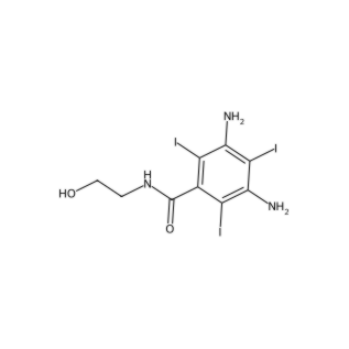 Nc1c(I)c(N)c(I)c(C(=O)NCCO)c1I